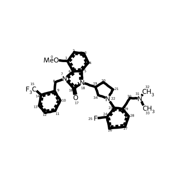 COc1cccc2c1n(Cc1ccccc1C(F)(F)F)c(=O)n2C1CCN(c2c(F)cccc2CN(C)C)C1